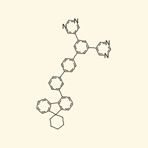 c1cc(-c2ccc(-c3cc(-c4cncnc4)cc(-c4cncnc4)c3)cc2)cc(-c2cccc3c2-c2ccccc2C32CCCCC2)c1